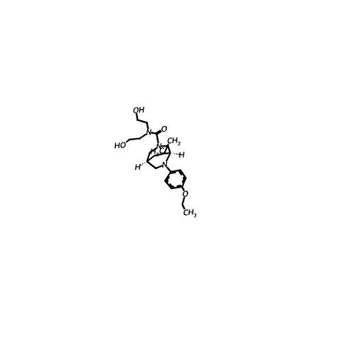 CCOc1ccc(N2C[C@H]3CN(C(=O)N(CCO)CCO)C[C@@H]2C(C)(C)C3)cc1